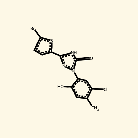 Cc1cc(O)c(-n2nc(-c3ccc(Br)s3)[nH]c2=O)cc1Cl